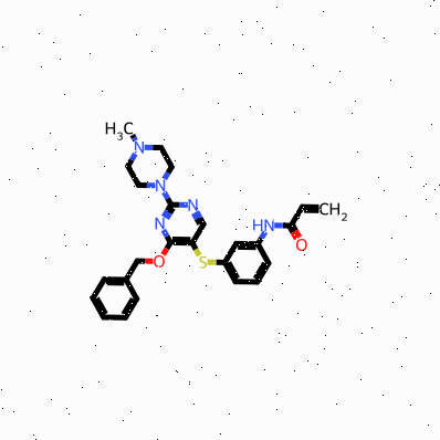 C=CC(=O)Nc1cccc(Sc2cnc(N3CCN(C)CC3)nc2OCc2ccccc2)c1